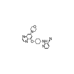 N#Cc1cccnc1N[C@H]1CC[C@@H](Oc2cc(N3CCOCC3)cc3nccnc23)CC1